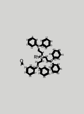 [C]=O.[Rh][Si](CCP(c1ccccc1)c1ccccc1)(CCP(c1ccccc1)c1ccccc1)CCP(c1ccccc1)c1ccccc1